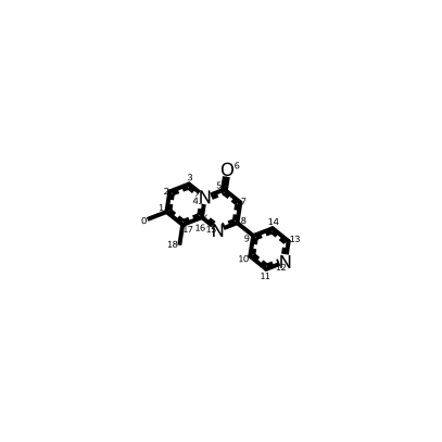 Cc1ccn2c(=O)cc(-c3ccncc3)nc2c1C